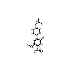 COc1cc(C2CCN(C[C](C)C)CC2)c(C)cc1[N+](=O)[O-]